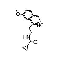 COc1ccc2cncc(CCNC(=O)C3CC3)c2c1.Cl